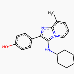 Cc1cccn2c(NC3CCCCC3)c(-c3ccc(O)cc3)nc12